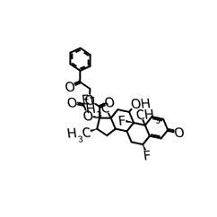 CCC(=O)O[C@]1(C(=O)OCC(=O)c2ccccc2)[C@H](C)CC2C3C[C@H](F)C4=CC(=O)C=CC4(C)[C@@]3(F)C(O)CC21C